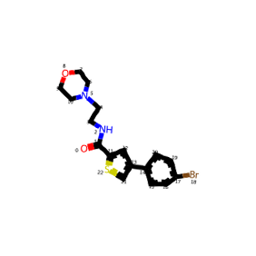 O=C(NCCN1CCOCC1)c1cc(-c2ccc(Br)cc2)cs1